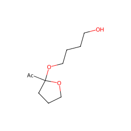 CC(=O)C1(OCCCCO)CCCO1